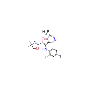 Bc1cncc2c(Nc3ccc(I)cc3F)c(C3=NC(C)(C)CO3)oc12